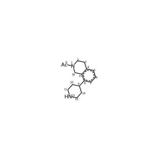 CC(=O)N1CCc2cccc(C3CCNCC3)c2C1